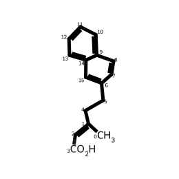 C/C(=C\C(=O)O)CCc1ccc2ccccc2c1